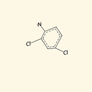 [N]c1ccc(Cl)cc1Cl